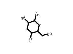 CCC1CC(C#N)C(C)CC1CN=O